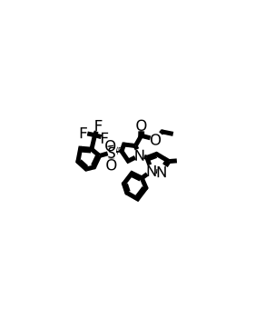 CCOC(=O)C1C[C@@H](S(=O)(=O)c2ccccc2C(F)(F)F)CN1c1cc(C)nn1-c1ccccc1